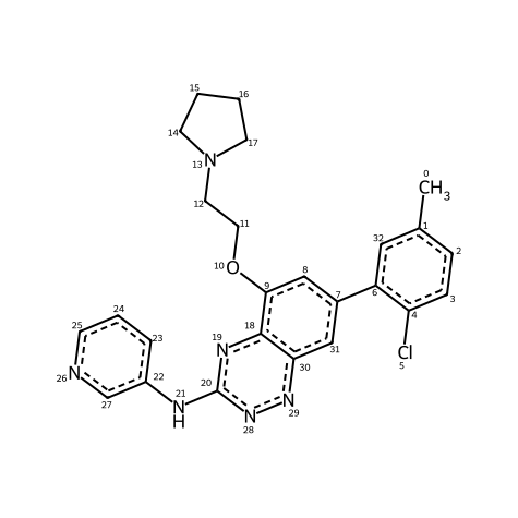 Cc1ccc(Cl)c(-c2cc(OCCN3CCCC3)c3nc(Nc4cccnc4)nnc3c2)c1